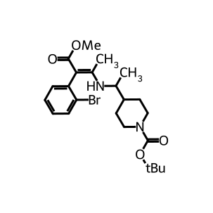 COC(=O)/C(=C(\C)NC(C)C1CCN(C(=O)OC(C)(C)C)CC1)c1ccccc1Br